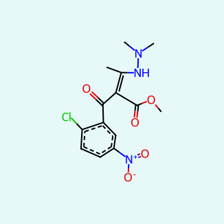 COC(=O)/C(C(=O)c1cc([N+](=O)[O-])ccc1Cl)=C(/C)NN(C)C